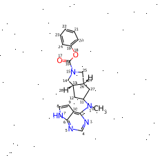 CN(c1ncnc2[nH]ccc12)C1C[C@@H]2CN(C(=O)Oc3ccccc3)C[C@@H]2C1